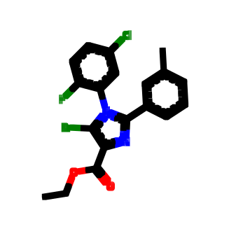 CCOC(=O)c1nc(-c2cccc(C)c2)n(-c2cc(Cl)ccc2F)c1Br